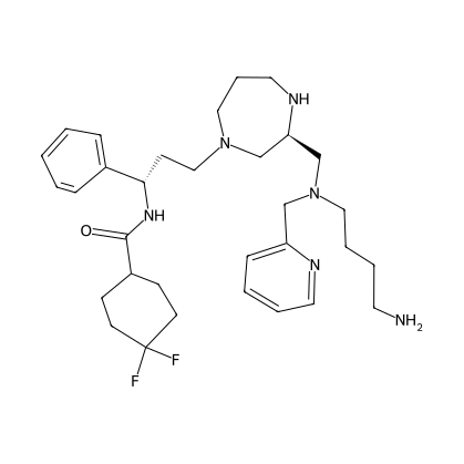 NCCCCN(Cc1ccccn1)C[C@H]1CN(CC[C@H](NC(=O)C2CCC(F)(F)CC2)c2ccccc2)CCCN1